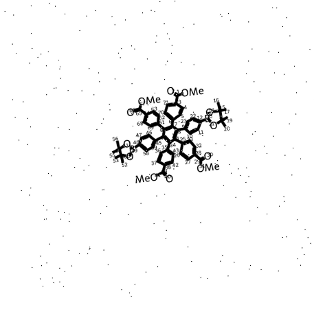 COC(=O)c1ccc(-c2c(-c3ccc(B4OC(C)(C)C(C)(C)O4)cc3)c(-c3ccc(C(=O)OC)cc3)c(-c3ccc(C(=O)OC)cc3)c(-c3ccc(B4OC(C)(C)C(C)(C)O4)cc3)c2-c2ccc(C(=O)OC)cc2)cc1